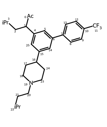 CC(=O)C(CC(C)C)c1cc(-c2ccc(C(F)(F)F)cc2)cc(C2CCN(CCC(C)C)CC2)c1